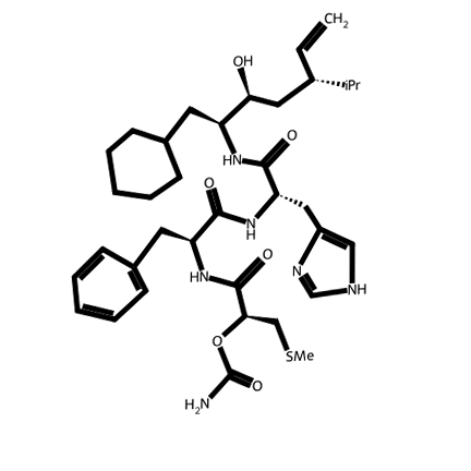 C=C[C@@H](C[C@H](O)[C@H](CC1CCCCC1)NC(=O)[C@H](Cc1c[nH]cn1)NC(=O)[C@H](Cc1ccccc1)NC(=O)[C@@H](CSC)OC(N)=O)C(C)C